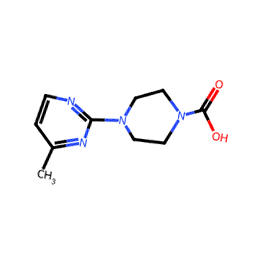 Cc1ccnc(N2CCN(C(=O)O)CC2)n1